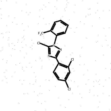 FC(F)(F)c1ccccc1-n1nc(-c2ccc(Cl)cc2Cl)nc1Cl